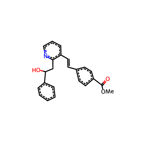 COC(=O)c1ccc(/C=C/c2cccnc2CC(O)c2ccccc2)cc1